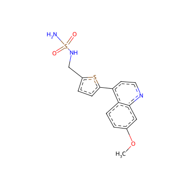 COc1ccc2c(-c3ccc(CNS(N)(=O)=O)s3)ccnc2c1